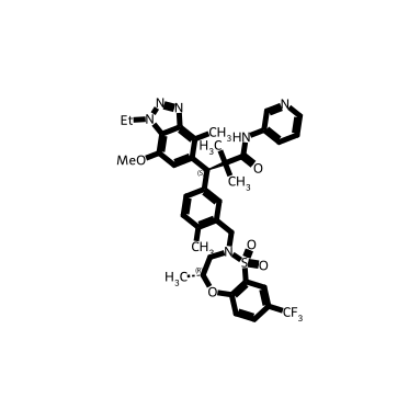 CCn1nnc2c(C)c([C@H](c3ccc(C)c(CN4C[C@@H](C)Oc5ccc(C(F)(F)F)cc5S4(=O)=O)c3)C(C)(C)C(=O)Nc3cccnc3)cc(OC)c21